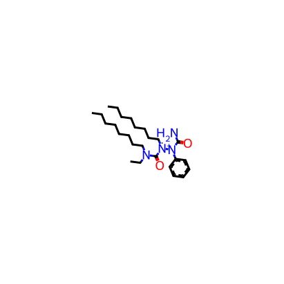 CCCCCCCCN(CC)C(=O)[N+](CCCCCCCC)N(C(N)=O)c1ccccc1